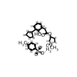 C[N+]1(C)CCC(OC(=O)Cc2cccc(C3CCCC3)c2O)C1.Cc1ccc(S(=O)(=O)[O-])cc1